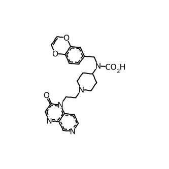 O=C(O)N(Cc1ccc2c(c1)OC=CO2)C1CCN(CCn2c(=O)cnc3cnccc32)CC1